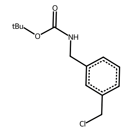 CC(C)(C)OC(=O)NCc1cccc(CCl)c1